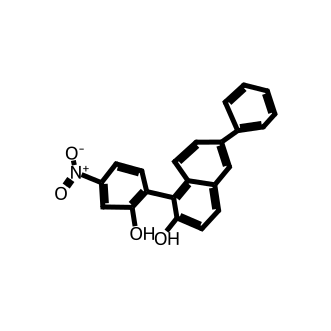 O=[N+]([O-])c1ccc(-c2c(O)ccc3cc(-c4ccccc4)ccc23)c(O)c1